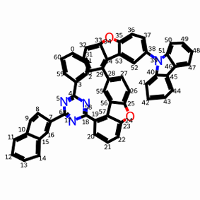 c1ccc(-c2nc(-c3ccc4ccccc4c3)nc(-c3cccc4oc5ccc(-c6cccc7oc8ccc(-n9c%10ccccc%10c%10ccccc%109)cc8c67)cc5c34)n2)cc1